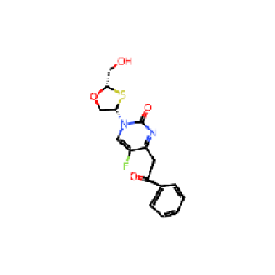 O=C(Cc1nc(=O)n([C@@H]2CO[C@H](CO)S2)cc1F)c1ccccc1